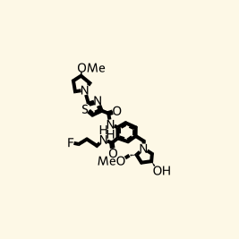 COC[C@H]1C[C@@H](O)CN1Cc1ccc(NC(=O)c2csc(N3CC[C@H](OC)C3)n2)c(C(=O)NCCCF)c1